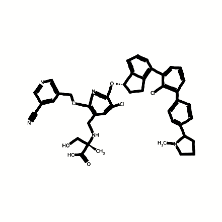 CN1CCCC1c1ccc(-c2cccc(-c3cccc4c3CC[C@@H]4Oc3nc(OCc4cncc(C#N)c4)c(CN[C@@](C)(CO)C(=O)O)cc3Cl)c2Cl)cc1